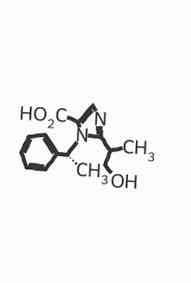 CC(CO)c1ncc(C(=O)O)n1[C@H](C)c1ccccc1